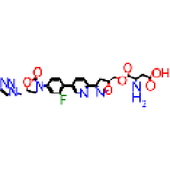 N[C@@H](CC(=O)O)C(=O)OC[C@@H]1CC(c2ccc(-c3ccc(N4C[C@H](Cn5ccnn5)OC4=O)cc3F)cn2)=NO1